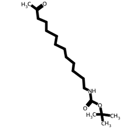 CC(=O)CCCCCCCCCCCNC(=O)OC(C)(C)C